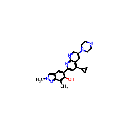 Cc1c(O)c(-c2cc(C3CC3)c3cc(N4CCNCC4)cnc3n2)cc2cn(C)nc12